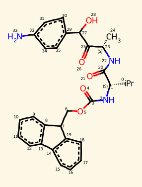 CC(C)[C@H](NC(=O)OCC1c2ccccc2-c2ccccc21)C(=O)N[C@@H](C)C(=O)C(O)c1ccc(N)cc1